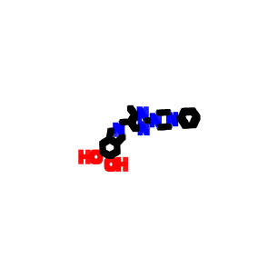 Cc1nc(N2CCN(c3ccccc3)CC2)ncc1CN1CC2CC(O)C(O)CC2C1